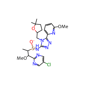 COc1cccc(-c2nnc(N[S+]([O-])C(C)C(OC)c3ncc(Cl)cn3)n2CC2CCC(C)(C)O2)n1